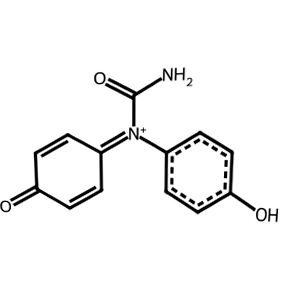 NC(=O)[N+](=C1C=CC(=O)C=C1)c1ccc(O)cc1